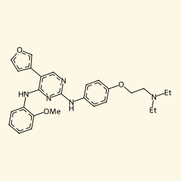 CCN(CC)CCOc1ccc(Nc2ncc(-c3ccoc3)c(Nc3ccccc3OC)n2)cc1